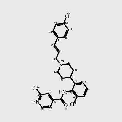 O=C(Nc1c(Cl)ccnc1C1CCN(C/C=C/c2ccc(Cl)cc2)CC1)c1ccnc(Cl)c1